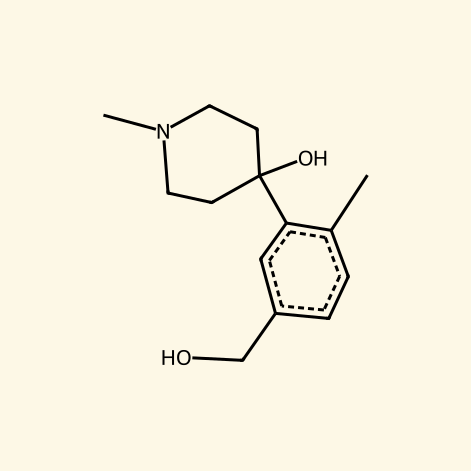 Cc1ccc(CO)cc1C1(O)CCN(C)CC1